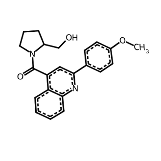 COc1ccc(-c2cc(C(=O)N3CCCC3CO)c3ccccc3n2)cc1